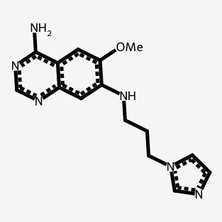 COc1cc2c(N)ncnc2cc1NCCCn1ccnc1